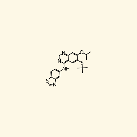 CC(C)Oc1cc2ncnc(Nc3ccc4scnc4c3)c2cc1SC(C)(C)C